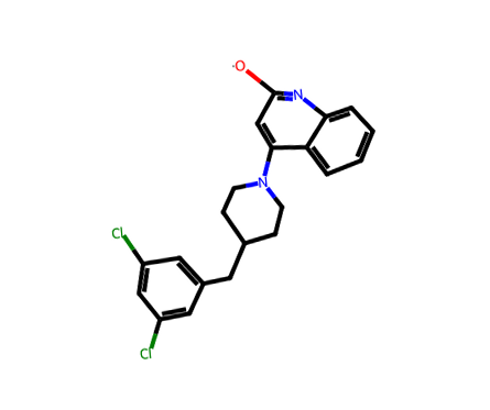 [O]c1cc(N2CCC(Cc3cc(Cl)cc(Cl)c3)CC2)c2ccccc2n1